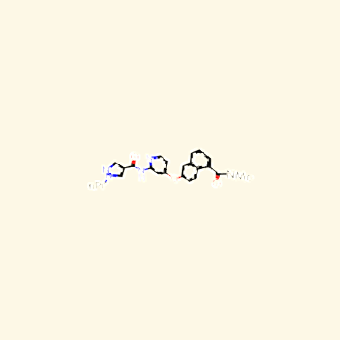 CCCn1cc(C(=O)Nc2cc(Oc3ccc4c(C(=O)NC)cccc4c3)ccn2)cn1